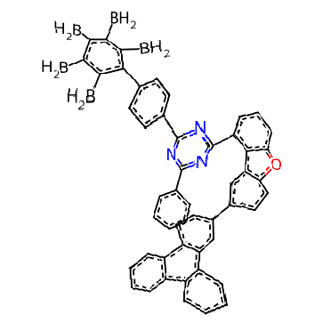 Bc1c(B)c(B)c(-c2ccc(-c3nc(-c4ccccc4)nc(-c4cccc5oc6ccc(-c7ccc8c9ccccc9c9ccccc9c8c7)cc6c45)n3)cc2)c(B)c1B